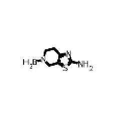 BN1CCc2nc(N)sc2C1